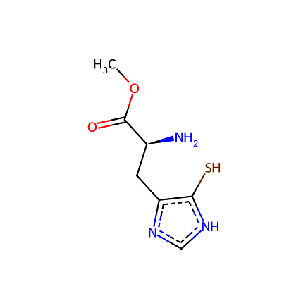 COC(=O)[C@@H](N)Cc1nc[nH]c1S